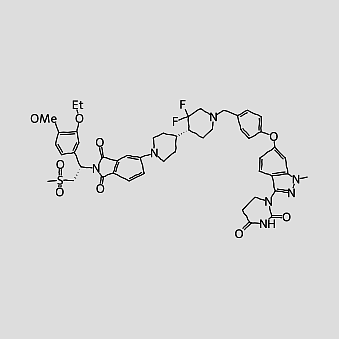 CCOc1cc([C@@H](CS(C)(=O)=O)N2C(=O)c3ccc(N4CCC([C@H]5CCN(Cc6ccc(Oc7ccc8c(N9CCC(=O)NC9=O)nn(C)c8c7)cc6)CC5(F)F)CC4)cc3C2=O)ccc1OC